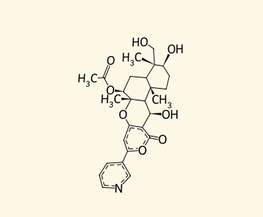 CC(=O)O[C@H]1CC2[C@](C)(CC[C@H](O)[C@@]2(C)CO)C2[C@@H](O)c3c(cc(-c4cccnc4)oc3=O)O[C@@]21C